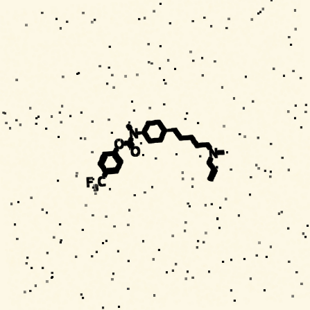 C=CCN(C)CCCCC[C@H]1CC[C@@H](N(C)C(=O)Oc2ccc(C(F)(F)F)cc2)CC1